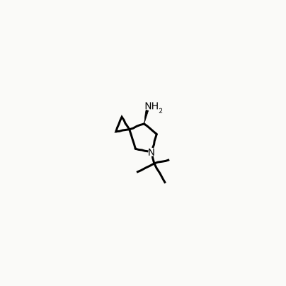 CC(C)(C)N1C[C@H](N)C2(CC2)C1